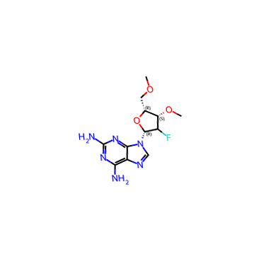 COC[C@H]1O[C@@H](n2cnc3c(N)nc(N)nc32)C(F)[C@H]1OC